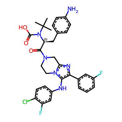 CC(C)(C)N(C(=O)O)[C@@H](Cc1ccc(N)cc1)C(=O)N1CCn2c(nc(-c3cccc(F)c3)c2Nc2ccc(Cl)c(F)c2)C1